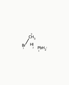 CBr.I.[PbH2]